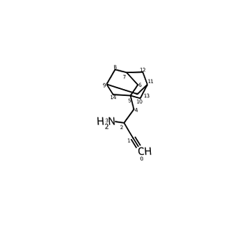 C#CC(N)CC12CC3CC(CC(C3)C1)C2